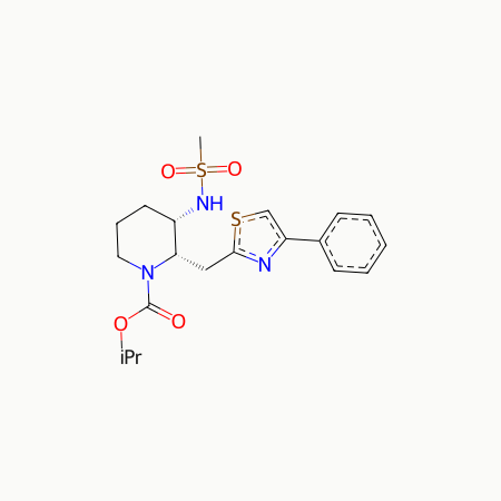 CC(C)OC(=O)N1CCC[C@H](NS(C)(=O)=O)[C@@H]1Cc1nc(-c2ccccc2)cs1